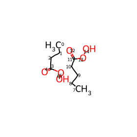 CCCC(=O)OO.CCCCC(=O)OO